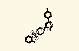 Cc1ccc(-c2cc(N3CCN(S(=O)(=O)c4ccccc4C)CC3)ncn2)cc1